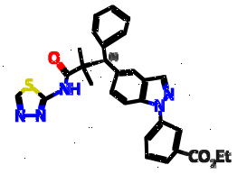 CCOC(=O)c1cccc(-n2ncc3cc([C@H](c4ccccc4)C(C)(C)C(=O)Nc4nncs4)ccc32)c1